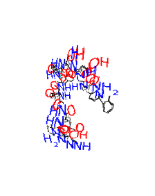 CO[C@H](C)[C@H](NC(=O)CNC(=O)[C@H](CCC(=O)O)NC(=O)C1(C)CCCN1C(=O)[C@@H](N)Cc1c[nH]cn1)C(=O)NC(C)(Cc1ccccc1F)C(=O)N[C@H](C(=O)N[C@@H](CO)C(=O)N[C@@H](CC(=O)O)C(=O)NCC(=O)N[C@@H](Cc1ccc(-c2ccccc2C)nc1)C(N)=O)[C@@H](C)OC